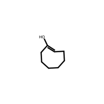 O/C1=C\CCCCCC1